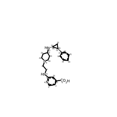 O=C(O)c1ccnc(NCCN2CCC(N[C@@H]3C[C@H]3c3ccccc3)CC2)c1